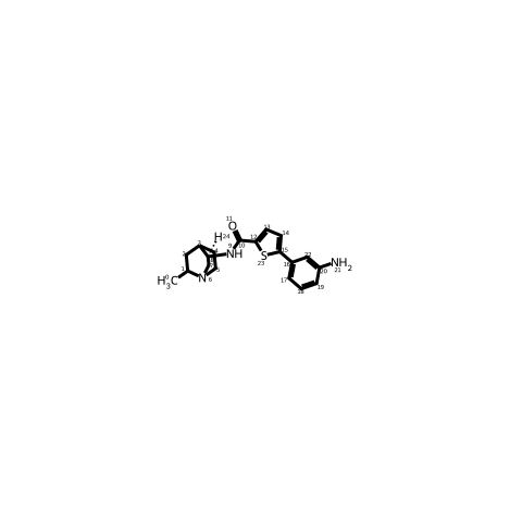 CC1CC2CCN1C[C@@H]2NC(=O)c1ccc(-c2cccc(N)c2)s1